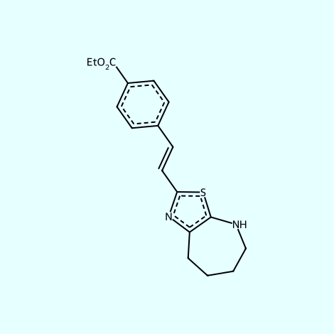 CCOC(=O)c1ccc(C=Cc2nc3c(s2)NCCCC3)cc1